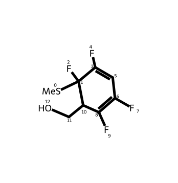 CSC1(F)C(F)=CC(F)=C(F)C1CO